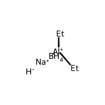 C[CH2][Al+][CH2]C.[BH4-].[H-].[Na+]